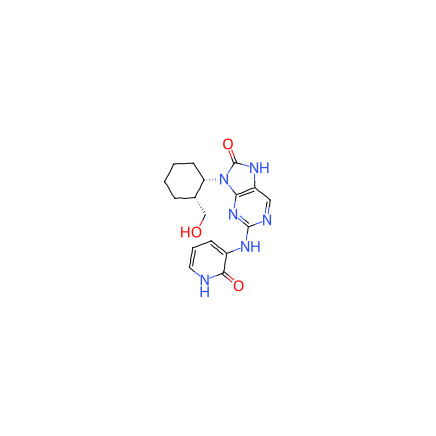 O=c1[nH]cccc1Nc1ncc2[nH]c(=O)n([C@H]3CCCC[C@H]3CO)c2n1